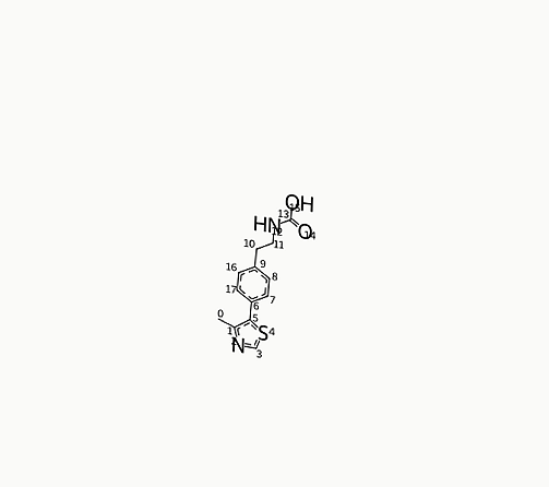 Cc1ncsc1-c1ccc(CCNC(=O)O)cc1